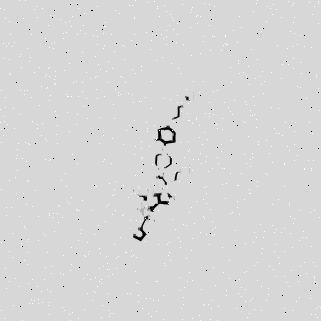 CCC[C@H](C(=O)N1CCN(c2ccc(OCCOC)cc2F)CC1)n1ncc2c1nc(N)n1nc(-c3ccco3)nc21